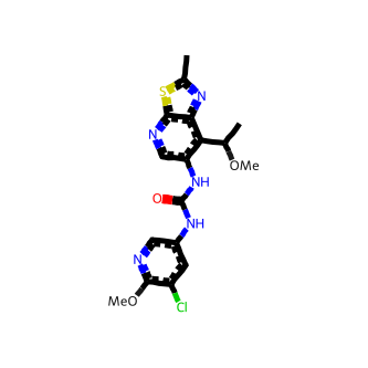 COc1ncc(NC(=O)Nc2cnc3sc(C)nc3c2C(C)OC)cc1Cl